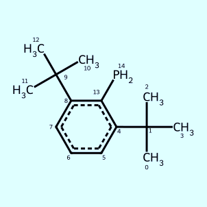 CC(C)(C)c1cccc(C(C)(C)C)c1P